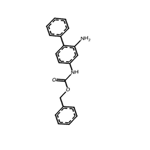 Nc1cc(NC(=O)OCc2ccccc2)ccc1-c1ccccc1